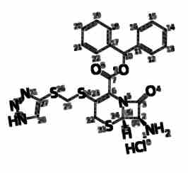 Cl.N[C@@H]1C(=O)N2C(C(=O)OC(c3ccccc3)c3ccccc3)=C(SCSc3c[nH]nn3)CS[C@@H]12